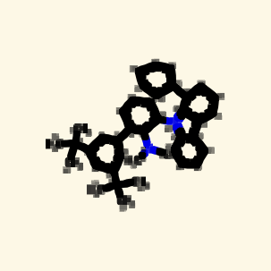 CN(C)c1c(-c2cc(C(C)(C)C)cc(C(C)(C)C)c2)cccc1-n1c2ccccc2c2cccc(-c3ccccc3)c21